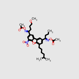 CCC/C(=N\OC(C)=O)c1cc(CCCCC(C)C)c2oc3c([N+](=O)[O-])cc(/C(CCCOC)=N/OC(C)=O)cc3c2c1